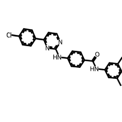 Cc1cc(C)cc(NC(=O)c2ccc(Nc3nccc(-c4ccc(Cl)cc4)n3)cc2)c1